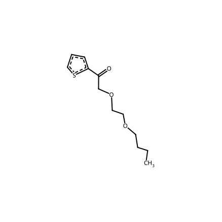 CCCCOCCOCC(=O)c1cccs1